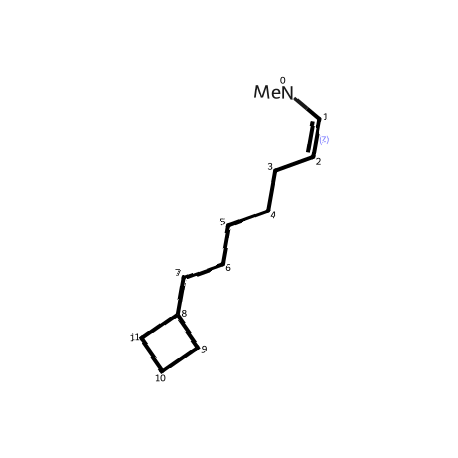 CN/C=C\CCCCCC1CCC1